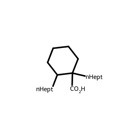 CCCCCCCC1CCCCC1(CCCCCCC)C(=O)O